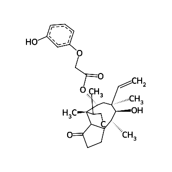 C=C[C@]1(C)C[C@@H](OC(=O)COc2cccc(O)c2)[C@]2(C)C(C)CCC3(CCC(=O)C32)[C@@H](C)[C@@H]1O